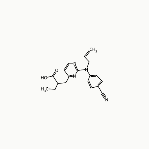 C=CCN(c1ccc(C#N)cc1)c1nccc(CC(CC)C(=O)O)n1